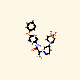 CC(C(=O)Nc1cnc(Oc2ccccc2)cn1)N1CCCC(N2CCS(=O)(=O)CC2)C1